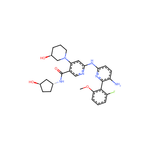 COc1cccc(F)c1-c1nc(Nc2cc(N3CCC[C@H](O)C3)c(C(=O)N[C@@H]3CC[C@@H](O)C3)cn2)ccc1N